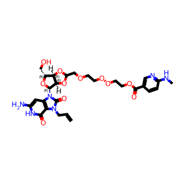 C=CCn1c(=O)n([C@@H]2O[C@H](CO)[C@H]3OC(COCCOOCCOC(=O)c4ccc(NC)nc4)O[C@H]32)c2cc(N)[nH]c(=O)c21